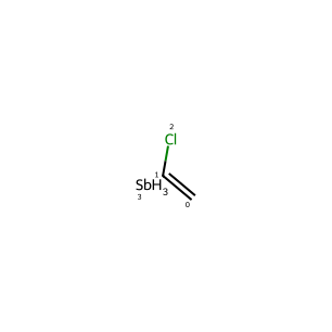 C=CCl.[SbH3]